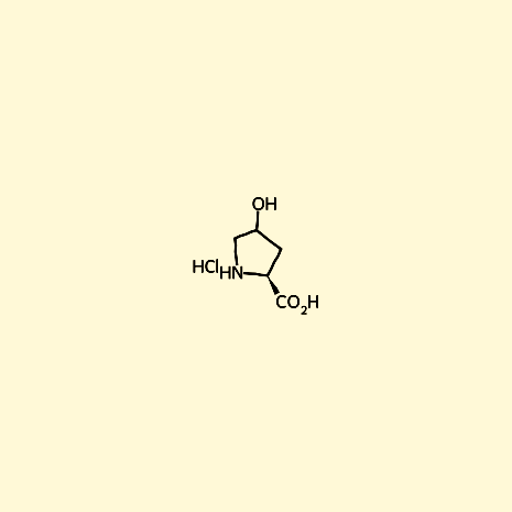 Cl.O=C(O)[C@@H]1CC(O)CN1